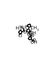 Cc1cccc(C)c1-c1cc(OC(CN)c2cccc(Cl)c2)nc(NS(=O)(=O)c2cccc(C(=O)O)c2)n1